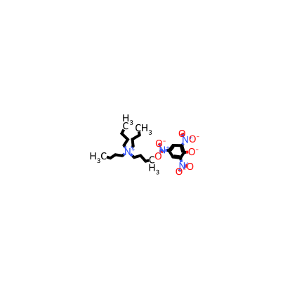 CCCC[N+](CCCC)(CCCC)CCCC.O=[N+]([O-])c1cc([N+](=O)[O-])c([O-])c([N+](=O)[O-])c1